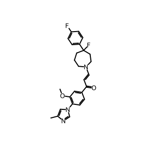 COc1cc(C(=O)/C=C/N2CCCC(F)(c3ccc(F)cc3)CC2)ccc1-n1cnc(C)c1